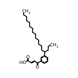 CCCCCCCCCCCCCCC(CCC)c1cccc(C(=O)C=CC(=O)O)c1